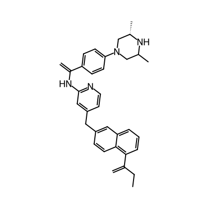 C=C(Nc1cc(Cc2ccc3c(C(=C)CC)cccc3c2)ccn1)c1ccc(N2CC(C)N[C@@H](C)C2)cc1